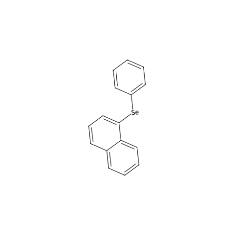 c1ccc([Se]c2cccc3ccccc23)cc1